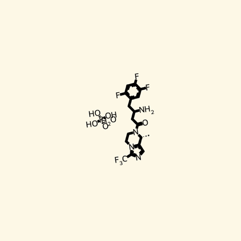 C[C@@H]1c2cnc(C(F)(F)F)n2CCN1C(=O)CC(N)Cc1cc(F)c(F)cc1F.O.O=P(O)(O)O